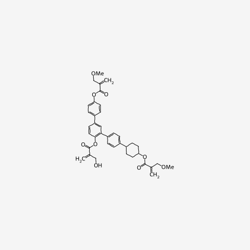 C=C(COC)C(=O)Oc1ccc(-c2ccc(OC(=O)C(=C)CO)c(-c3ccc(C4CCC(OC(=O)C(=C)COC)CC4)cc3)c2)cc1